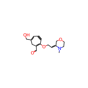 CN1CCOC/C1=C\COC1=C(C=O)CC(CO)=CC#C1